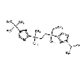 CCC(C)(CCC(C)(C)c1ncc(C(C)(C)C)s1)c1csc(C(C)C)n1